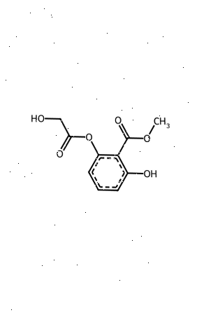 COC(=O)c1c(O)cccc1OC(=O)CO